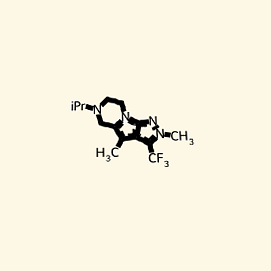 Cc1c2n(c3nn(C)c(C(F)(F)F)c13)CCN(C(C)C)C2